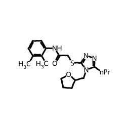 CCCc1nnc(SCC(=O)Nc2cccc(C)c2C)n1CC1CCCO1